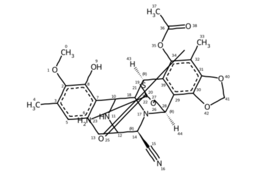 COc1c(C)cc2c(c1O)C1NC(C2)[C@H](C#N)N2C1[C@@H]1SCC(N)C(=O)OC[C@H]2c2c3c(c(C)c(OC(C)=O)c21)OCO3